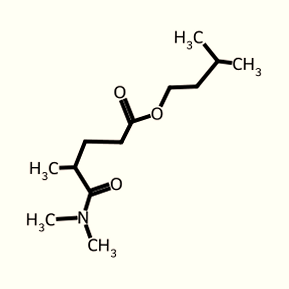 CC(C)CCOC(=O)CCC(C)C(=O)N(C)C